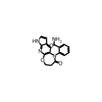 NC(=O)c1ccccc1N1C(=O)CCOc2nc3[nH]ccc3cc21